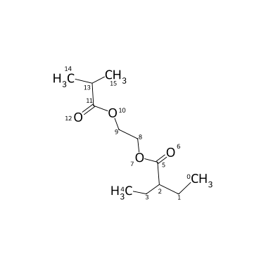 CCC(CC)C(=O)OCCOC(=O)C(C)C